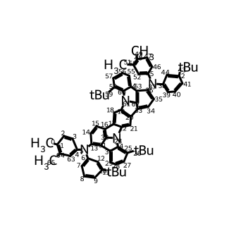 Cc1ccc(N(c2cccc(C(C)(C)C)c2)c2ccc3c4cc5c(cc4n4c6c(C(C)(C)C)cccc6c2c34)c2ccc(N(c3cccc(C(C)(C)C)c3)c3ccc(C)c(C)c3)c3c4cccc(C(C)(C)C)c4n5c23)cc1C